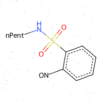 CCCCCNS(=O)(=O)c1ccccc1N=O